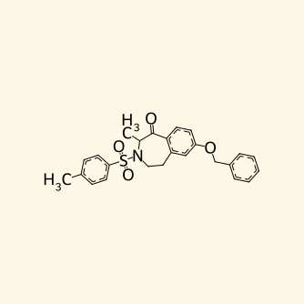 Cc1ccc(S(=O)(=O)N2CCc3cc(OCc4ccccc4)ccc3C(=O)C2C)cc1